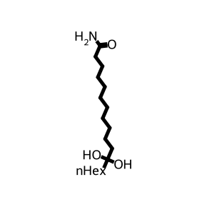 CCCCCCC(O)(O)CCCCCCCCCCC(N)=O